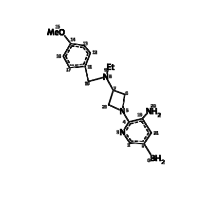 Bc1cnc(N2CC(N(CC)Cc3ccc(OC)cc3)C2)c(N)c1